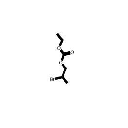 CCOC(=O)OCC(C)Br